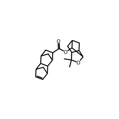 CC1(C)OC2C3CC(CC31)C2OC(=O)C1CC2CC1C1C3C=CC(C3)C21